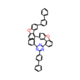 c1ccc(-c2ccc(-c3nc(-c4ccccc4)nc(-c4cccc5oc6ccc(-c7cccc8oc9ccc(-c%10cccc(-c%11ccccc%11)c%10)cc9c78)cc6c45)n3)cc2)cc1